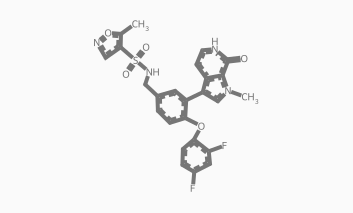 Cc1oncc1S(=O)(=O)NCc1ccc(Oc2ccc(F)cc2F)c(-c2cn(C)c3c(=O)[nH]ccc23)c1